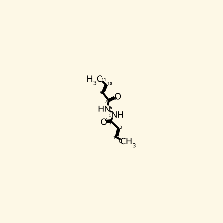 CC=CC(=O)NNC(=O)C=CC